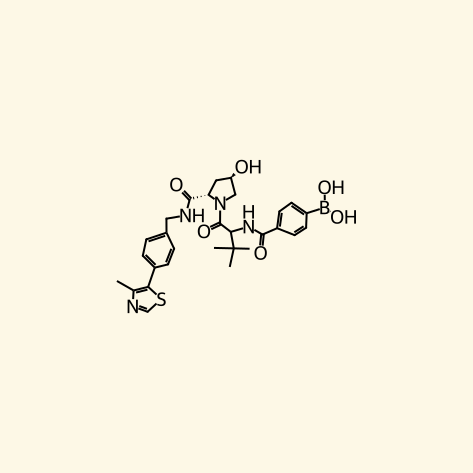 Cc1ncsc1-c1ccc(CNC(=O)[C@@H]2C[C@@H](O)CN2C(=O)C(NC(=O)c2ccc(B(O)O)cc2)C(C)(C)C)cc1